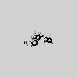 CC1C(F)CCC2CN1C(=O)c1c(O)c(=O)c(C(=O)NCc3c(F)cc(F)cc3F)cn12